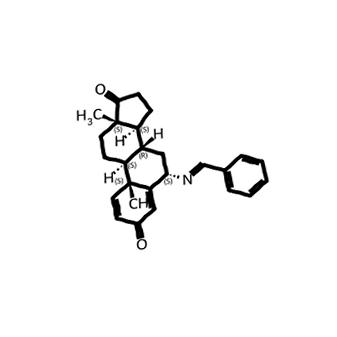 C[C@]12C=CC(=O)C=C1[C@@H](N=Cc1ccccc1)C[C@@H]1[C@@H]2CC[C@]2(C)C(=O)CC[C@@H]12